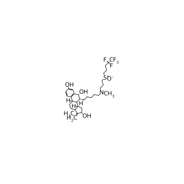 C=C1[C@H](O)C[C@H]2[C@@H]3[C@H](CCCCCN(C)CCC[S+]([O-])CCCC(F)(F)C(F)(F)F)[C@@H](O)c4cc(O)ccc4[C@H]3CC[C@]12C